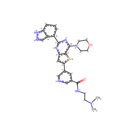 CN(C)CCNC(=O)c1cncc(-c2cc3nc(-c4cccc5[nH]ncc45)nc(N4CCOCC4)c3s2)c1